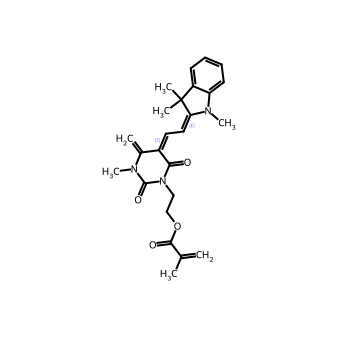 C=C(C)C(=O)OCCn1c(=O)/c(=C\C=C2\N(C)c3ccccc3C2(C)C)c(=C)n(C)c1=O